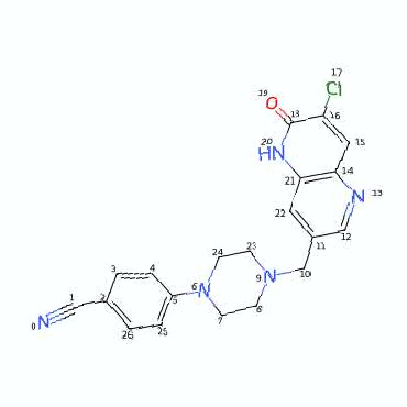 N#Cc1ccc(N2CCN(Cc3cnc4cc(Cl)c(=O)[nH]c4c3)CC2)cc1